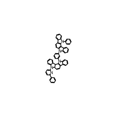 C1=CC2C(c3ccccc3N2c2cccc(-c3ccccc3)n2)c2c1c1ccccc1n2-c1cccc(-n2c3ccccc3c3c2ccc2c4ccccc4n(-c4ccccc4)c23)c1